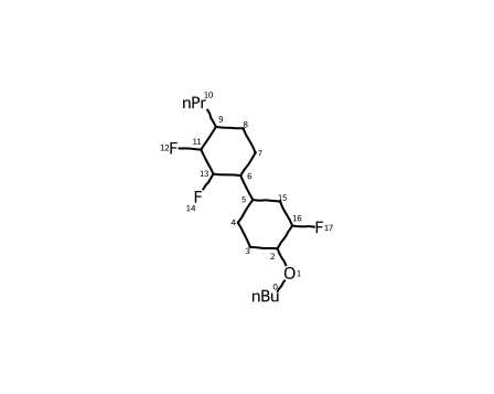 CCCCOC1CCC(C2CCC(CCC)C(F)C2F)CC1F